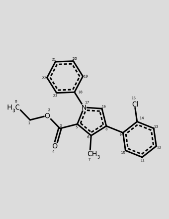 CCOC(=O)c1c(C)c(-c2ccccc2Cl)cn1-c1ccccc1